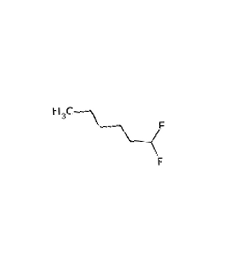 CCCCCC(F)F